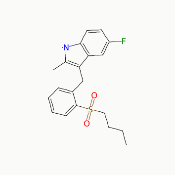 CCCCS(=O)(=O)c1ccccc1CC1=C(C)[N]c2ccc(F)cc21